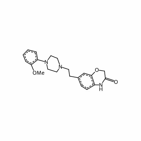 COc1ccccc1N1CCN(CCc2ccc3c(c2)OCC(=O)N3)CC1